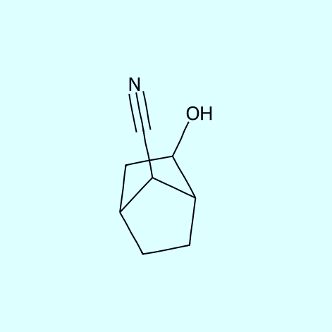 N#CC1C2CCC1C(O)C2